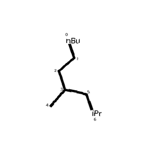 [CH2]CCCCCC(C)CC([CH2])C